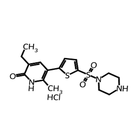 CCc1cc(-c2ccc(S(=O)(=O)N3CCNCC3)s2)c(C)[nH]c1=O.Cl